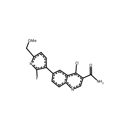 COCc1ccc(-c2ccc3ncc(C(N)=O)c(Cl)c3c2)c(F)n1